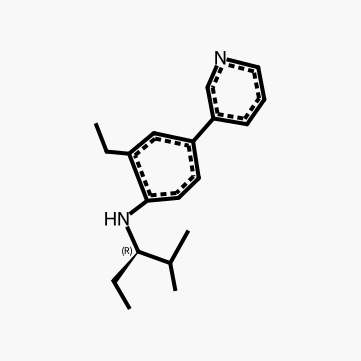 CCc1cc(-c2cccnc2)ccc1N[C@H](CC)C(C)C